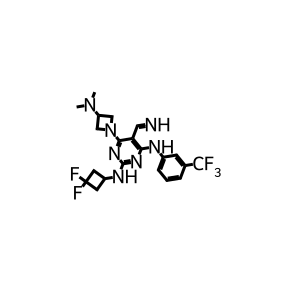 CN(C)C1CN(c2nc(NC3CC(F)(F)C3)nc(Nc3cccc(C(F)(F)F)c3)c2C=N)C1